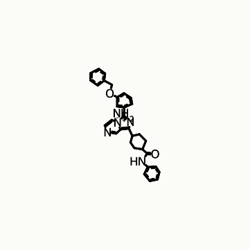 N[N+]12C=CN=CC1=C(C1CCC(C(=O)Nc3ccccc3)CC1)N=C2c1cccc(OCc2ccccc2)c1